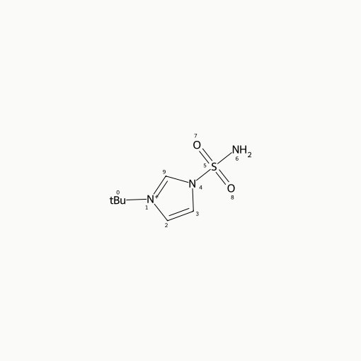 CC(C)(C)[n+]1ccn(S(N)(=O)=O)c1